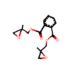 CC1(COC(=O)c2ccccc2C(=O)OCC2(C)CO2)CO1